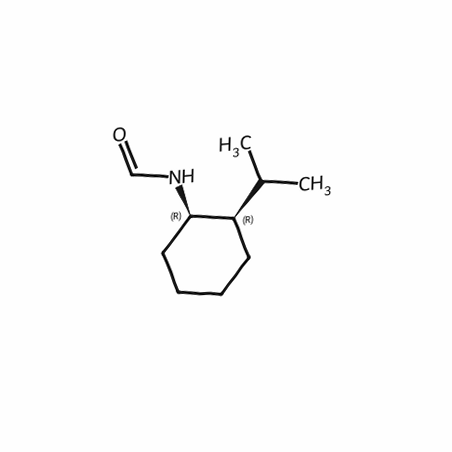 CC(C)[C@H]1CCCC[C@H]1NC=O